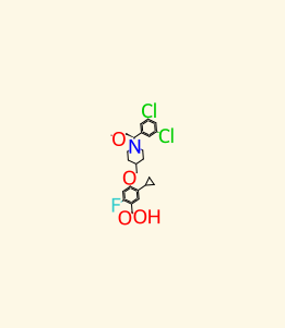 COC[C@@H](c1cc(Cl)cc(Cl)c1)N1CCC(COc2cc(F)c(C(=O)O)cc2C2CC2)CC1